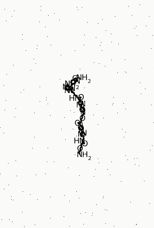 NCCOCCC(=O)NCc1cnc(N2CCN(C(=O)CCOCCN3CCN(c4ncc(C(=O)NCCCCn5nc(-c6ccc7oc(N)nc7c6)c6c(N)ncnc65)cn4)CC3)CC2)nc1